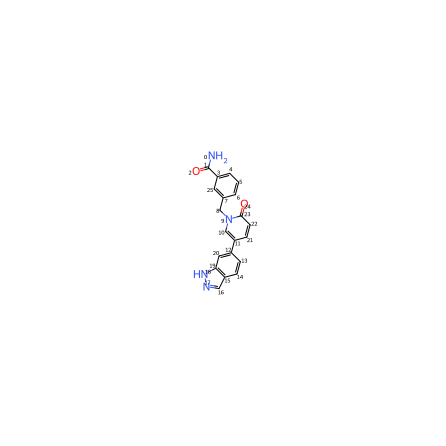 NC(=O)c1cccc(Cn2cc(-c3ccc4cn[nH]c4c3)ccc2=O)c1